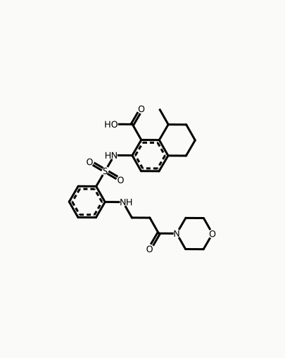 CC1CCCc2ccc(NS(=O)(=O)c3ccccc3NCCC(=O)N3CCOCC3)c(C(=O)O)c21